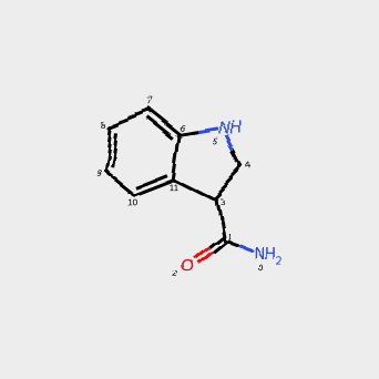 NC(=O)C1CNc2ccccc21